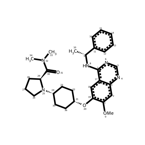 COc1cc2ncnc(N[C@H](C)c3ccccc3)c2cc1O[C@H]1CC[C@@H](N2CCC[C@H]2C(=O)N(C)C)CC1